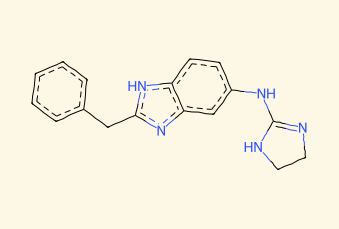 c1ccc(Cc2nc3cc(NC4=NCCN4)ccc3[nH]2)cc1